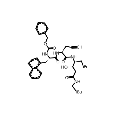 C#CC[C@H](NC(=O)[C@H](Cc1cccc2ccccc12)NC(=O)OCc1ccccc1)C(=O)N[C@@H](CC(C)C)[C@@H](O)CC(=O)NCC(C)CC